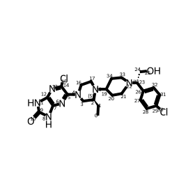 CC[C@H]1CN(c2nc3[nH]c(=O)[nH]c3nc2Cl)CCN1C1CCN([C@H](CO)c2ccc(Cl)cc2)CC1